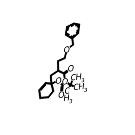 CC(C)(C)OC(=O)C(CCOCc1ccccc1)CC1(OC=O)C=CCCC1